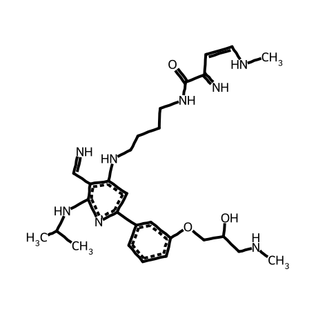 CN/C=C\C(=N)C(=O)NCCCCNc1cc(-c2cccc(OCC(O)CNC)c2)nc(NC(C)C)c1C=N